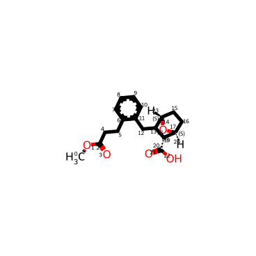 COC(=O)CCc1ccccc1CC1[C@@H]2CC[C@H](O2)[C@@H]1C(=O)O